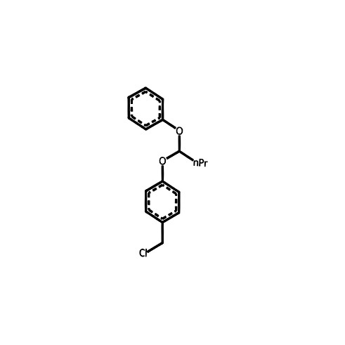 CCCC(Oc1ccccc1)Oc1ccc(CCl)cc1